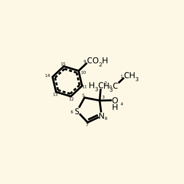 CC.CC1(O)CSC=N1.O=C(O)c1ccccc1